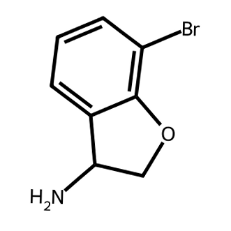 NC1COc2c(Br)cccc21